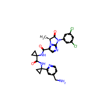 C[C@H]1C(=O)N(c2cc(Cl)cc(Cl)c2)c2ncc(C(=O)NC3(C(=O)NC4(c5cc(CN)ccn5)CC4)CC3)n21